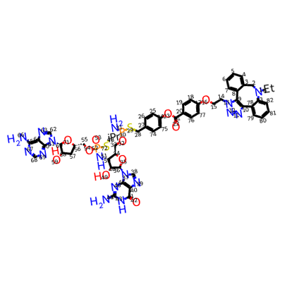 CCN1Cc2ccccc2-c2c(nnn2CCOc2ccc(C(=O)Oc3ccc(CS[P@@](N)OC[C@H]4O[C@@H](n5cnc6c(=O)[nH]c(N)nc65)[C@H](O)[C@@H]4NP(=O)(OC[C@@H]4C[C@@H](O)[C@H](n5cnc6c(N)ncnc65)O4)SC(C)C)cc3)cc2)-c2ccccc21